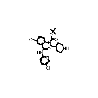 CC(C)(C)OC(=O)N(CC1CCNCC1)c1ccc(Cl)cc1C(=O)Nc1ccc(Cl)cn1